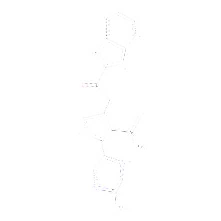 COC(=O)c1c(CC(=O)c2cc3ccccc3o2)csc1-c1cnc(OC)cn1